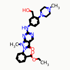 CCOC(=O)c1ccccc1-n1c(=O)c2cnc(Nc3ccc(N4CCN(C)CC4)c(CO)c3)nc2n1C